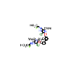 COc1nc(OCc2cccc(-c3cccc(COc4nc(OC)c(CNC[C@@H](F)C(=O)O)cc4Cl)c3C)c2C)c(Cl)cc1CNC[C@@H](F)C(=O)O